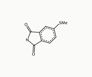 CSc1ccc2c(c1)C(=O)[N]C2=O